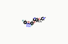 CN1CCC(COc2cc3nccc(Oc4ccc(NC(=O)Nc5ccc(F)cc5)c(F)c4)c3cc2C#N)CC1